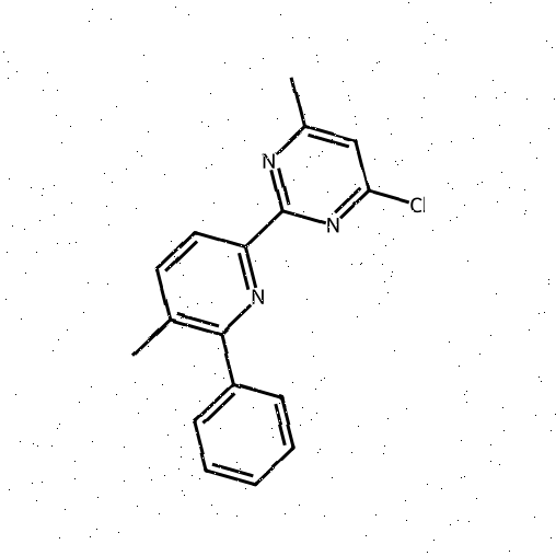 Cc1cc(Cl)nc(-c2ccc(C)c(-c3ccccc3)n2)n1